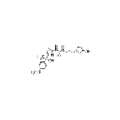 COc1ccc(C(C)(C)c2csc(NC(=O)NCCCN3CCC(O)C3)n2)cc1